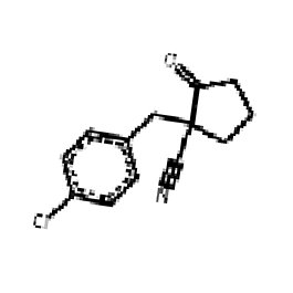 N#CC1(Cc2ccc(Cl)cc2)CCCC1=O